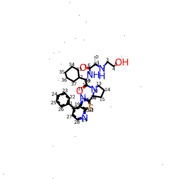 C[C@H](NCCO)C(=O)N[C@H](C(=O)N1CCC[C@H]1c1nc2c(-c3ccccc3)ccnc2s1)C1CCCCC1